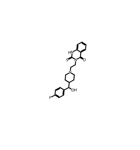 O=c1c2ccccc2[nH]c(=S)n1CCN1CCC(C(O)c2ccc(F)cc2)CC1